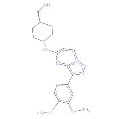 COc1ccc(-c2cnn3ccc(N[C@H]4CC[C@H](CO)CC4)nc23)cc1OC